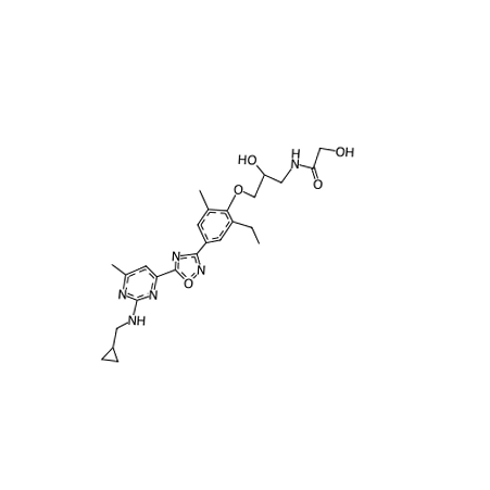 CCc1cc(-c2noc(-c3cc(C)nc(NCC4CC4)n3)n2)cc(C)c1OCC(O)CNC(=O)CO